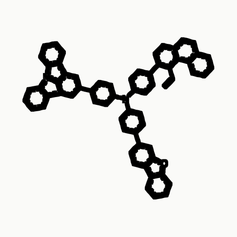 C=Cc1c(-c2ccc(N(c3ccc(-c4ccc5c(c4)oc4ccccc45)cc3)c3ccc(-c4cc5c6ccccc6n6c7ccccc7c(c4)c56)cc3)cc2)ccc2ccc3ccccc3c12